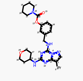 CC(C)c1cnn2c(NCc3cccc(OC(=O)N4CCCCC4)c3)nc(NC3CCOCC3)nc12